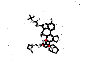 CN1CC[C@H]1COc1cc(N2C3CCC2CN(C(=O)O)C3)c2c3c(c(-c4ccc(F)c5sc(NC(=O)OC(C)(C)C)c(C#N)c45)c(Cl)c2n1)COC3